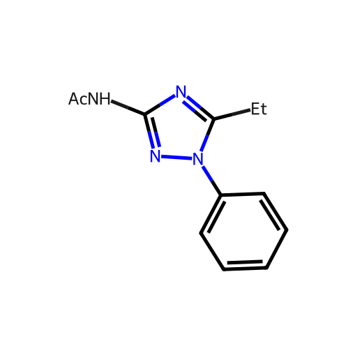 CCc1nc(NC(C)=O)nn1-c1ccccc1